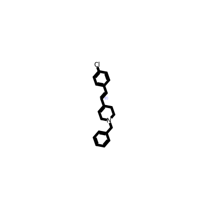 Clc1ccc(/C=C/C2=CCN(Cc3ccccc3)CC2)cc1